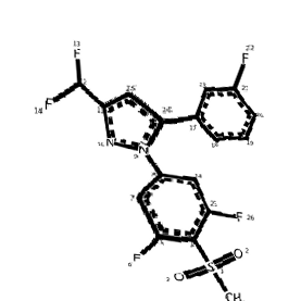 CS(=O)(=O)c1c(F)cc(-n2nc(C(F)F)cc2-c2cccc(F)c2)cc1F